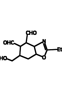 CCC1=NC2C(CC(CO)C(C=O)C2C=O)O1